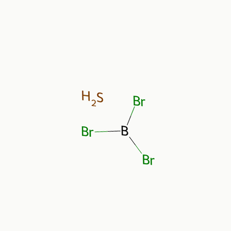 BrB(Br)Br.S